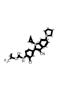 C[C@@H](OC(=O)Nc1ccc(-c2c(C#N)c3ccc(N4CCCC4)cc3n2C2CC2)cc1Cl)C(F)(F)F